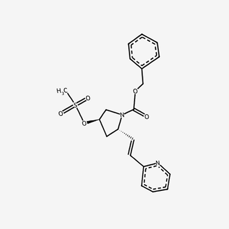 CS(=O)(=O)O[C@@H]1C[C@@H](/C=C/c2ccccn2)N(C(=O)OCc2ccccc2)C1